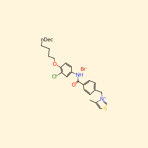 CCCCCCCCCCCCCCOc1ccc(NC(=O)c2ccc(C[n+]3cscc3C)cc2)cc1Cl.[Br-]